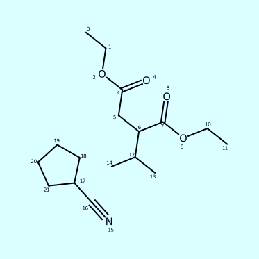 CCOC(=O)CC(C(=O)OCC)C(C)C.N#CC1CCCC1